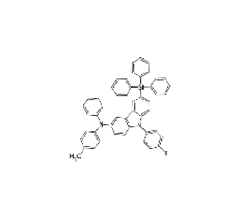 Cc1ccc(N(c2ccccc2)c2ccc3c(c2)c2cc([Si](c4ccccc4)(c4ccccc4)c4ccccc4)ccc2n3-c2ccc(F)cc2)cc1